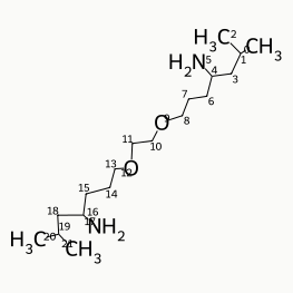 CC(C)CC(N)CCCOCCOCCCC(N)CC(C)C